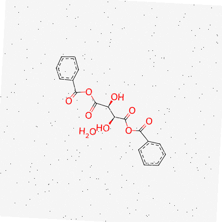 O.O=C(OC(=O)[C@@H](O)[C@H](O)C(=O)OC(=O)c1ccccc1)c1ccccc1